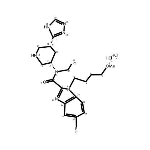 COCCCCn1c(C(=O)N(CC(C)C)[C@@H]2CNC[C@H](c3nnc[nH]3)C2)nc2cc(F)ccc21.Cl.Cl